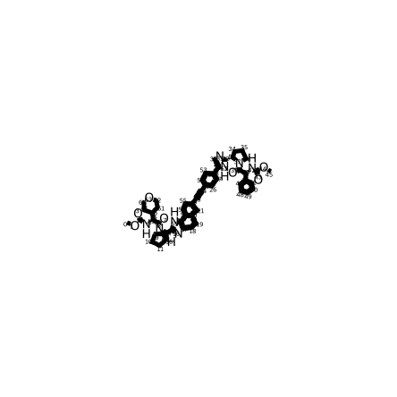 COC(=O)N[C@H](C(=O)N1C2CC[C@@H](C2)C1c1nc2ccc3cc(C#Cc4ccc(-c5cnc([C@@H]6CCCN6C(=O)[C@H](NC(=O)OC)c6ccccc6)[nH]5)cc4)ccc3c2[nH]1)C1CCOCC1